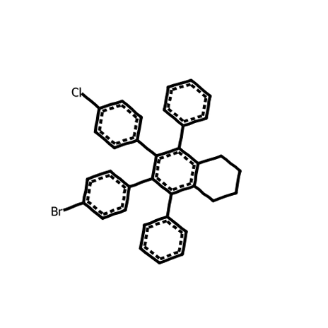 Clc1ccc(-c2c(-c3ccccc3)c3c(c(-c4ccccc4)c2-c2ccc(Br)cc2)CCCC3)cc1